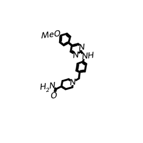 COc1ccc(-c2cnc(Nc3ccc(CN4CCC(C(N)=O)CC4)cc3)nc2)cc1